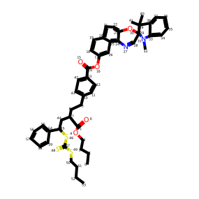 CCCCOC(=O)C(CCc1ccc(C(=O)Oc2ccc3ccc4c(c3c2)N=CC2(O4)N(C)c3ccccc3C2(C)C)cc1)CC(SC(=S)SCCCC)c1ccccc1